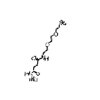 CC(C)(C)CCOCCOCCNC(=O)CCC(=O)NC(C)(C)C